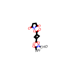 CCCC(=O)N(C=O)OC(=O)C12CC(C(=O)ON3C(=O)CCC3=O)(C1)C2